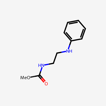 COC(=O)NCCNc1ccccc1